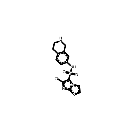 O=S(=O)(Nc1ccc2c(c1)CNCC2)c1c(Cl)nc2sccn12